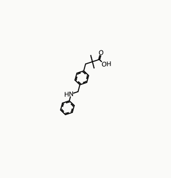 CC(C)(Cc1ccc(CNc2ccccc2)cc1)C(=O)O